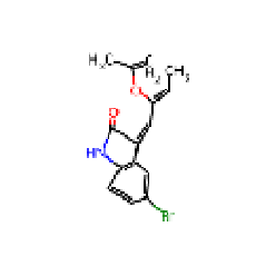 C=C(C)OC(=C\C)/C=C1\C(=O)Nc2ccc(Br)cc21